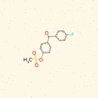 CS(=O)(=O)Oc1ccc(C(=O)c2ccc(F)cc2)cc1